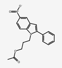 CC(=O)OCCCn1c(-c2ccccc2)cc2cc([N+](=O)[O-])ccc21